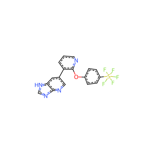 FS(F)(F)(F)(F)c1ccc(Oc2ncccc2-c2cnc3nc[nH]c3c2)cc1